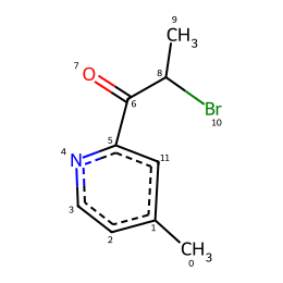 Cc1ccnc(C(=O)C(C)Br)c1